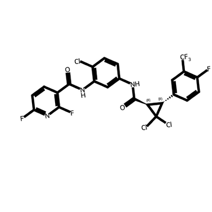 O=C(Nc1cc(NC(=O)[C@H]2[C@H](c3ccc(F)c(C(F)(F)F)c3)C2(Cl)Cl)ccc1Cl)c1ccc(F)nc1F